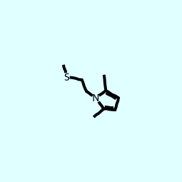 CSCCn1c(C)ccc1C